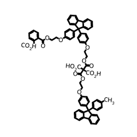 Cc1ccc(C2(c3ccc(OCCOC(=O)C(C(=O)O)(C(=O)O)C(=O)OCCOc4ccc(C5(c6ccc(OCCOC(=O)c7ccccc7C(=O)O)cc6)c6ccccc6-c6ccccc65)cc4)cc3)c3ccccc3-c3ccccc32)cc1